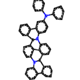 c1ccc(N(c2ccccc2)c2ccc3c(c2)-c2ccccc2B2c4cccc5c4-c4c(cccc4N23)B2c3ccccc3-c3ccccc3N25)cc1